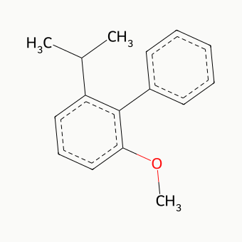 COc1cccc(C(C)C)c1-c1ccccc1